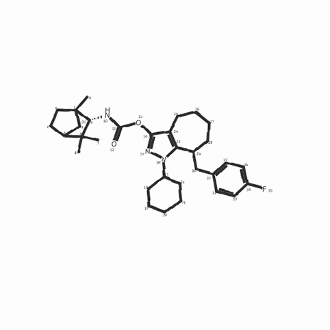 CC12CCC(C1)C(C)(C)[C@H]2NC(=O)Oc1nn(C2CCCCC2)c2c1CCCCC2Cc1ccc(F)cc1